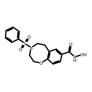 O=C(NO)c1ccc2c(c1)CCN(S(=O)(=O)c1ccccc1)CCO2